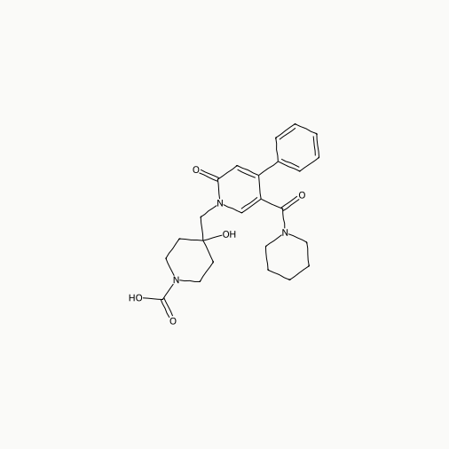 O=C(O)N1CCC(O)(Cn2cc(C(=O)N3CCCCC3)c(-c3ccccc3)cc2=O)CC1